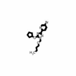 CCCCOCn1nc(-c2ccc(Br)cn2)nc1OC1CCCC1